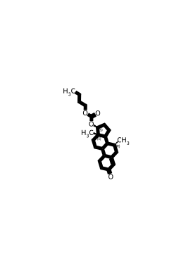 CCCCOC(=O)O[C@H]1CCC2C3C(CC[C@@]21C)C1CCC(=O)C=C1C[C@H]3C